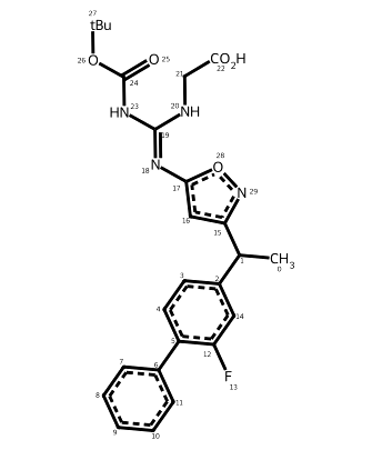 CC(c1ccc(-c2ccccc2)c(F)c1)c1cc(/N=C(\NCC(=O)O)NC(=O)OC(C)(C)C)on1